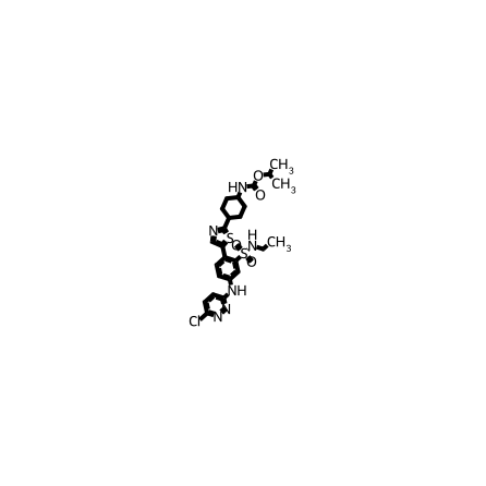 CCNS(=O)(=O)c1cc(Nc2ccc(Cl)nn2)ccc1-c1cnc(C2CCC(NC(=O)OC(C)C)CC2)s1